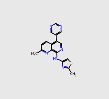 Cc1ccc2c(-c3cncnc3)cnc(Nc3csc(C)n3)c2n1